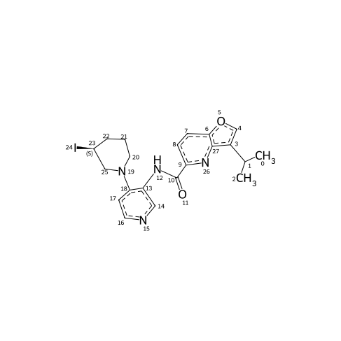 CC(C)c1coc2ccc(C(=O)Nc3cnccc3N3CCC[C@H](I)C3)nc12